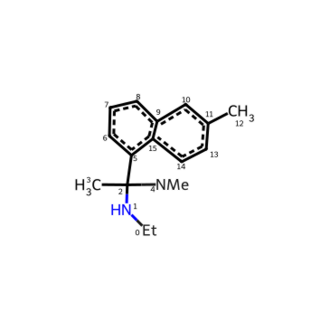 CCNC(C)(NC)c1cccc2cc(C)ccc12